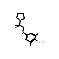 Cc1cc(OCC(=O)N2CCCC2)cc(C)c1C=O